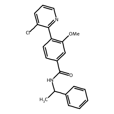 COc1cc(C(=O)NC(C)c2ccccc2)ccc1-c1ncccc1Cl